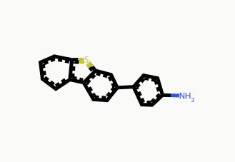 Nc1ccc(-c2ccc3c(c2)sc2ccccc23)cc1